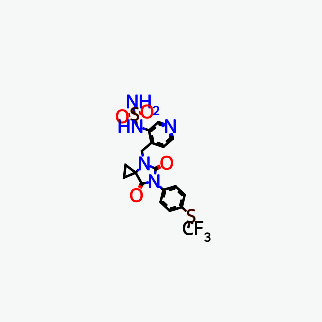 NS(=O)(=O)Nc1cnccc1CN1C(=O)N(c2ccc(SC(F)(F)F)cc2)C(=O)C12CC2